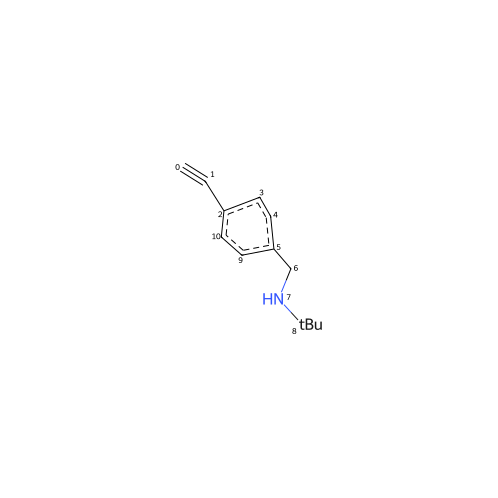 C#Cc1ccc(CNC(C)(C)C)cc1